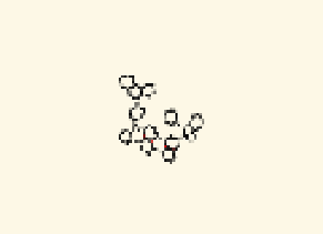 c1ccc(-c2ccc(-c3ccccc3N(c3ccc(-c4cccc(-c5oc6ccccc6c5-c5ccccc5)c4)cc3)c3ccc(-c4cc5ccccc5c5ccccc45)cc3)cc2)cc1